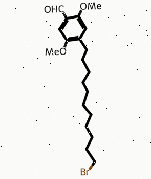 COc1cc(CCCCCCCCCCCBr)c(OC)cc1C=O